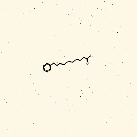 CCC(=O)CCCCCCCCCc1ccccc1